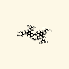 C[C@H](O)C(=O)Nc1c(I)c(C(=O)NC(CO)CO)c(I)c(C(=O)N2CCNCCN(C(=O)c3c(I)c(NC(=O)[C@H](C)O)c(I)c(C(=O)NC(CO)CO)c3I)CC2)c1I